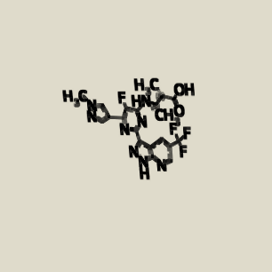 C[C@H](Nc1nc(-c2n[nH]c3ncc(C(F)(F)F)cc23)nc(-c2cnn(C)c2)c1F)[C@H](C)C(=O)O